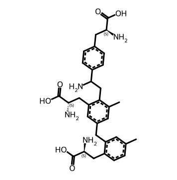 Cc1ccc(C[C@H](N)C(=O)O)c(Cc2cc(C)c(CC(N)c3ccc(C[C@H](N)C(=O)O)cc3)c(C[C@H](N)C(=O)O)c2)c1